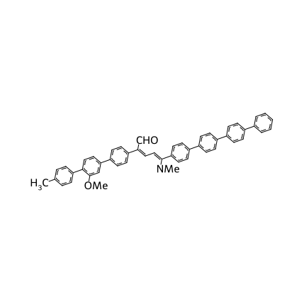 CN/C(=C\C=C(/C=O)c1ccc(-c2ccc(-c3ccc(C)cc3)c(OC)c2)cc1)c1ccc(-c2ccc(-c3ccc(-c4ccccc4)cc3)cc2)cc1